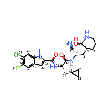 N#C[C@H](C[C@@H]1CCCNC1O)NC(=O)[C@H](CC1CC1)NC(=O)c1cc2cc(F)c(Cl)cc2[nH]1